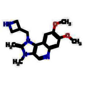 C=C1N(C)c2cnc3cc(OC)c(OC)cc3c2N1CC1CNC1